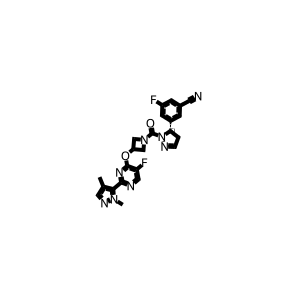 Cc1cnn(C)c1-c1ncc(F)c(OC2CN(C(=O)N3N=CC[C@H]3c3cc(F)cc(C#N)c3)C2)n1